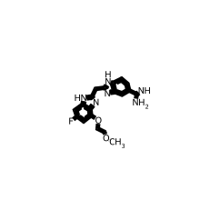 COCCOc1cc(F)cc2[nH]c(Cc3nc4cc(C(=N)N)ccc4[nH]3)nc12